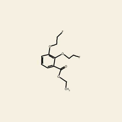 CCOC(=O)c1cccc(OCCF)c1OCCF